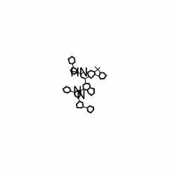 CC1(C)c2ccccc2-c2cc3c(cc21)NC(c1cccc(-c2ccccc2)c1)C=C3c1cc(-c2nc(-c3ccccc3)cc(-c3cccc(-c4ccccc4)c3)n2)c2ccccc2c1